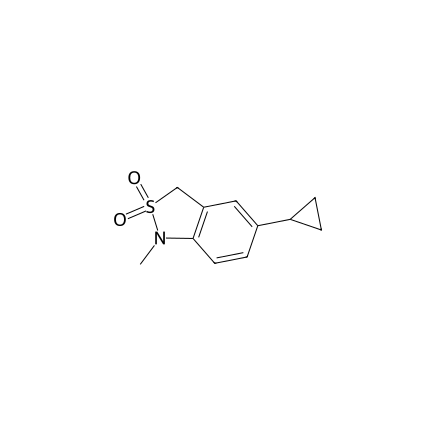 CN1c2ccc(C3CC3)cc2CS1(=O)=O